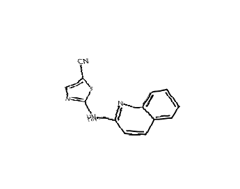 N#Cc1cnc(Nc2ccc3ccccc3n2)s1